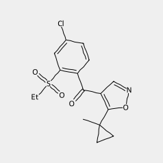 CCS(=O)(=O)c1cc(Cl)ccc1C(=O)c1cnoc1C1(C)CC1